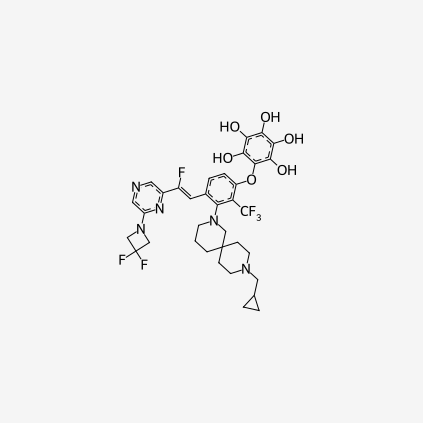 Oc1c(O)c(O)c(Oc2ccc(/C=C(\F)c3cncc(N4CC(F)(F)C4)n3)c(N3CCCC4(CCN(CC5CC5)CC4)C3)c2C(F)(F)F)c(O)c1O